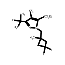 CCOC(=O)c1c(C(F)(F)F)c(C(C)(C)F)nn1CC1(C)CC(F)(F)C1